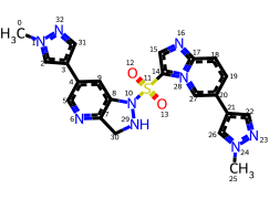 Cn1cc(-c2cnc3c(c2)N(S(=O)(=O)c2cnc4ccc(-c5cnn(C)c5)cn24)NC3)cn1